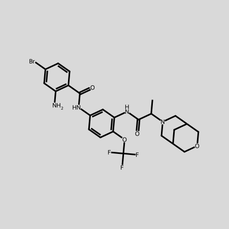 CC(C(=O)Nc1cc(NC(=O)c2ccc(Br)cc2N)ccc1OC(F)(F)F)N1CC2COCC(C2)C1